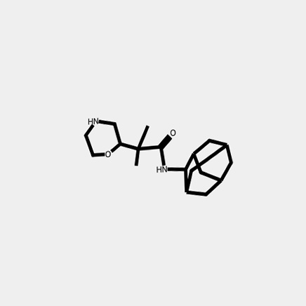 CC(C)(C(=O)NC1C2CC3CC(C2)CC1C3)C1CNCCO1